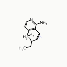 CCC(C)/C=C\c1c(C)ncnc1N